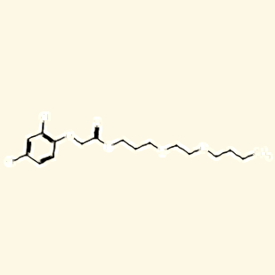 CCCCOCCOCCCOC(=O)COc1ccc(Cl)cc1Cl